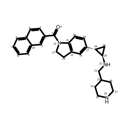 O=C(c1ccc2ccccc2c1)N1CCc2cc([C@@H]3C[C@H]3NCC3CCNCC3)ccc21